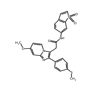 COc1ccn2c(CC(=O)Nc3ccc4c(c3)S(=O)(=O)C=C4)c(-c3ccc(SC)cc3)nc2c1